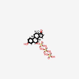 C[C@]12CC[C@@H]3c4ccc(O)cc4CC[C@H]3[C@@H]1CCC2=O.O=S(=O)(O)O.O=S(=O)(O)O.O=S(=O)(O)O